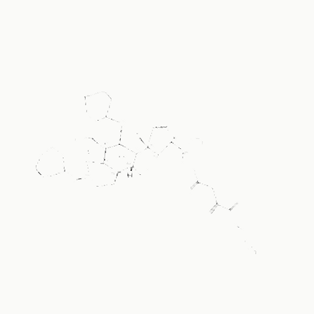 CCOC(=O)C(=O)CC(=O)CC[C@@H](C)[C@H]1CC[C@H]2[C@@H]3C(OC4CCCCO4)[C@H](CC)[C@@H]4C[C@H](OC5CCCCO5)CC[C@]4(C)[C@H]3CC[C@]12C